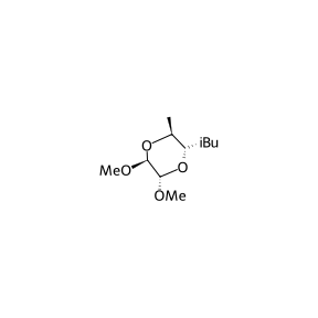 CC[C@@H](C)[C@@H]1O[C@H](OC)[C@@H](OC)O[C@H]1C